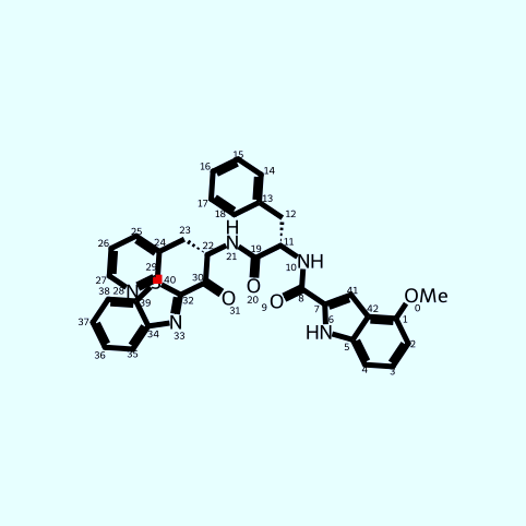 COc1cccc2[nH]c(C(=O)N[C@@H](Cc3ccccc3)C(=O)N[C@@H](Cc3cccnc3)C(=O)c3nc4ccccc4s3)cc12